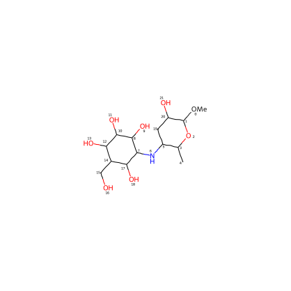 COC1OC(C)C(NC2C(O)C(O)C(O)C(CO)C2O)CC1O